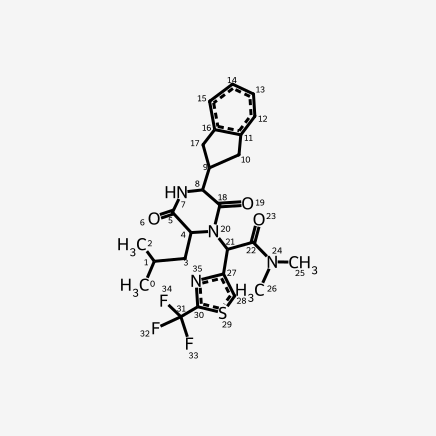 CC(C)CC1C(=O)NC(C2Cc3ccccc3C2)C(=O)N1C(C(=O)N(C)C)c1csc(C(F)(F)F)n1